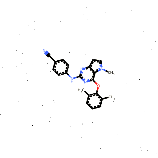 Cc1[c]ccc(C)c1Oc1nc(Nc2ccc(C#N)cc2)nc2ccn(C)c12